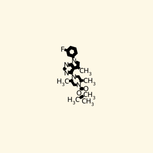 Cc1cn(-c2cccc(F)c2)c2ncnc(N3CC(C)N(C(=O)OC(C)(C)C)CC3C)c12